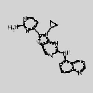 Nc1nccc(-c2nc3cnc(Nc4cccc5ncccc45)nc3n2C2CC2)n1